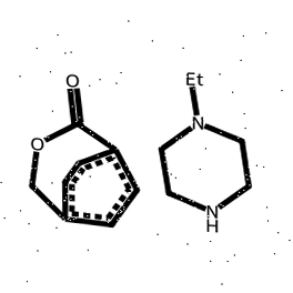 CCN1CCNCC1.O=C1OCc2ccc1cc2